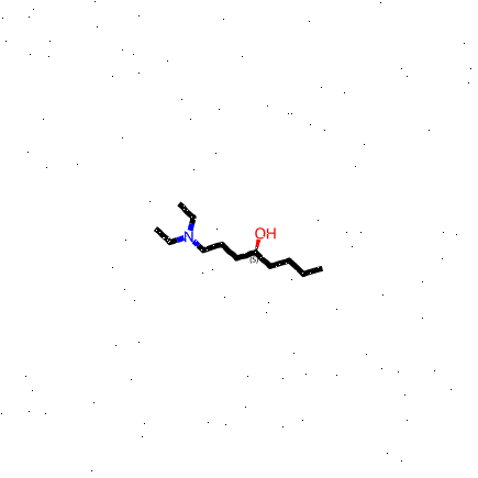 CCCC[C@H](O)CCCN(CC)CC